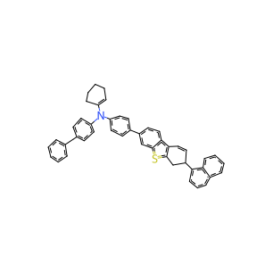 C1=CC(c2cccc3ccccc23)Cc2sc3cc(-c4ccc(N(C5=CCCCC5)c5ccc(-c6ccccc6)cc5)cc4)ccc3c21